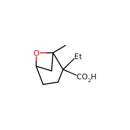 CCC1(C(=O)O)CCC2CC1(C)O2